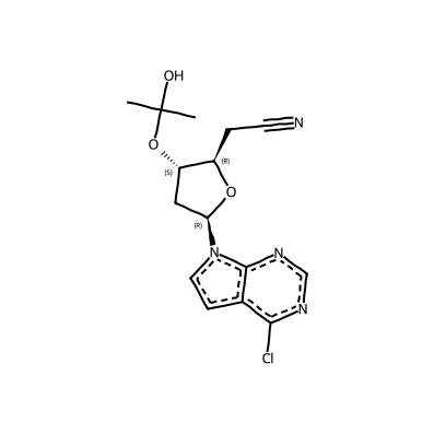 CC(C)(O)O[C@H]1C[C@H](n2ccc3c(Cl)ncnc32)O[C@@H]1CC#N